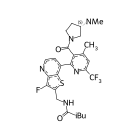 CCC(C)C(=O)NCc1sc2c(-c3nc(C(F)(F)F)cc(C)c3C(=O)N3CC[C@H](NC)C3)ccnc2c1F